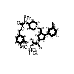 CCCN(C(=O)OCc1ccc(F)c(F)c1)C1CCN(CC2CC(N(C)[C@@H](C(=O)O)C(C)C)CC2c2cccc(F)c2)CC1.Cl.Cl